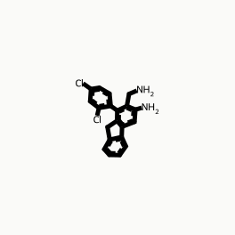 NCc1c(N)cc2c(c1-c1ccc(Cl)cc1Cl)Cc1ccccc1-2